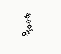 N#C/N=C(/Nc1ccc(N2CCN([C@H]3C[C@@H]4CCC45CC35)CC2)cc1)Oc1ccccc1